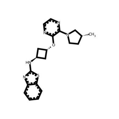 C[C@@H]1CCN(c2nccnc2O[C@H]2C[C@H](Nc3nc4ccccc4s3)C2)C1